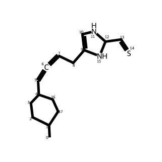 CC1CCC(C=C=CCC2=CNC(C=S)N2)CC1